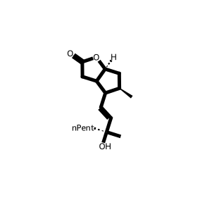 CCCCC[C@](C)(O)/C=C/C1C2CC(=O)O[C@H]2C[C@H]1C